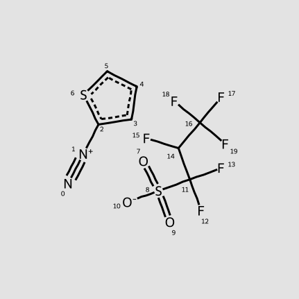 N#[N+]c1cccs1.O=S(=O)([O-])C(F)(F)C(F)C(F)(F)F